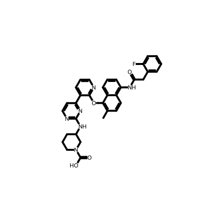 Cc1ccc2c(NC(=O)Cc3ccccc3F)cccc2c1Oc1ncccc1-c1ccnc(NC2CCCN(C(=O)O)C2)n1